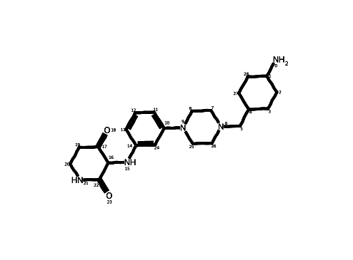 NC1CCC(CN2CCN(c3cccc(NC4C(=O)CCNC4=O)c3)CC2)CC1